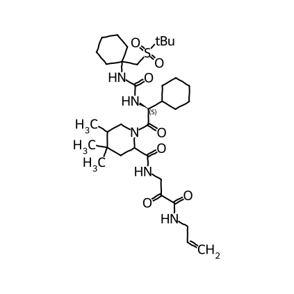 C=CCNC(=O)C(=O)CNC(=O)C1CC(C)(C)C(C)CN1C(=O)[C@@H](NC(=O)NC1(CS(=O)(=O)C(C)(C)C)CCCCC1)C1CCCCC1